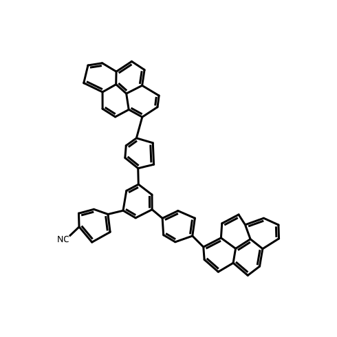 N#Cc1ccc(-c2cc(-c3ccc(-c4ccc5ccc6cccc7ccc4c5c67)cc3)cc(-c3ccc(-c4ccc5ccc6cccc7ccc4c5c67)cc3)c2)cc1